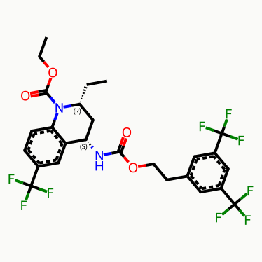 CCOC(=O)N1c2ccc(C(F)(F)F)cc2[C@@H](NC(=O)OCCc2cc(C(F)(F)F)cc(C(F)(F)F)c2)C[C@H]1CC